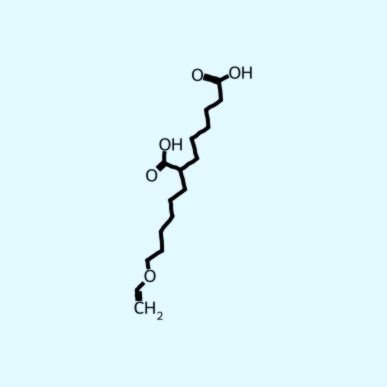 C=COCCCCCCC(CCCCCC(=O)O)C(=O)O